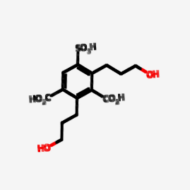 O=C(O)c1cc(S(=O)(=O)O)c(CCCO)c(C(=O)O)c1CCCO